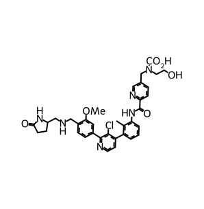 COc1cc(-c2nccc(-c3cccc(NC(=O)c4ccc(CN(CCO)C(=O)O)cn4)c3C)c2Cl)ccc1CNCC1CCC(=O)N1